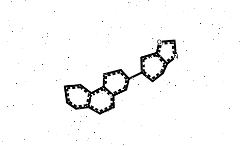 c1ccc2c(c1)ccc1cc(-c3ccc4ncoc4c3)ccc12